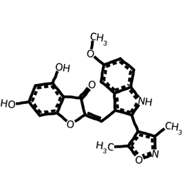 COc1ccc2[nH]c(-c3c(C)noc3C)c(C=C3Oc4cc(O)cc(O)c4C3=O)c2c1